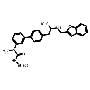 CCCCCCCNC(=O)N(C)c1cccc(-c2ccc(CC(NCc3cc4ccccc4o3)C(=O)O)cc2)c1